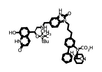 CC(C)(C)[Si](C)(C)O[C@H](CNCc1ccc2c(c1)[nH]c(=O)n2CCCc1ccc(-c2ccccc2)c(N(C(=O)O)[C@H]2CN3CCC2CC3)c1)c1ccc(O)c2[nH]c(=O)ccc12